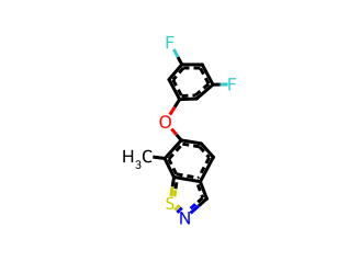 Cc1c(Oc2cc(F)cc(F)c2)ccc2cnsc12